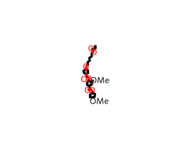 C=CC(=O)OCCCCCCOc1ccc(C(=O)Oc2ccc(C(=O)Oc3ccc(OC)cc3)cc2OC)cc1